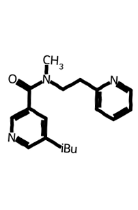 CCC(C)c1cncc(C(=O)N(C)CCc2ccccn2)c1